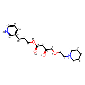 O=C(COCCN1CCCCC1)CC(=O)OCCCc1cccnc1